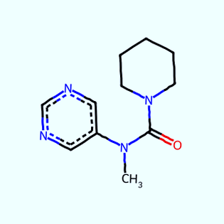 CN(C(=O)N1CCCCC1)c1cncnc1